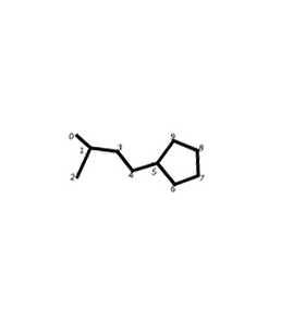 CC(C)CC[C]1CCCC1